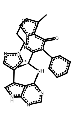 Cc1ccn2nc([C@H](C)Nc3ncnc4[nH]cc(-c5cnn(CCO)c5)c34)n(-c3ccccc3)c(=O)c12